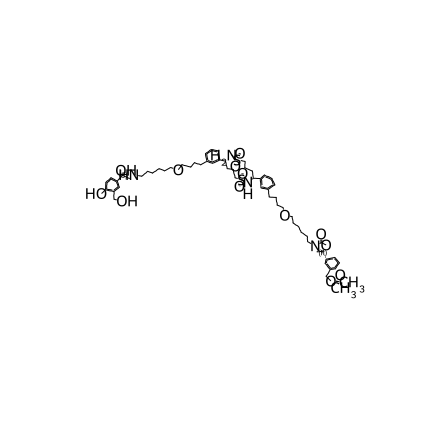 CC1(C)OCc2cc([C@@H]3CN(CCCCCCOCCCCc4cccc(C(CCCS(N)(=O)=O)NS(=O)(=O)CCCCc5cccc(CCCCOCCCCCCNC[C@@H](O)c6ccc(O)c(CO)c6)c5)c4)C(=O)O3)ccc2O1